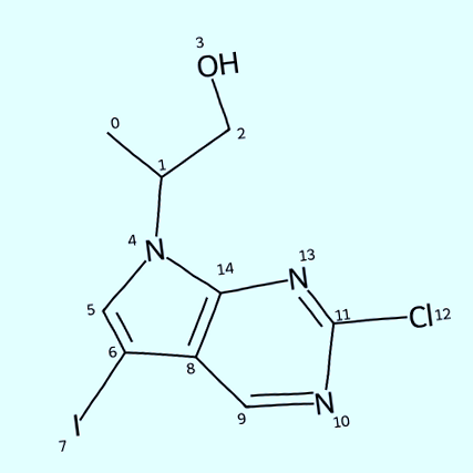 CC(CO)n1cc(I)c2cnc(Cl)nc21